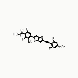 CCCc1cc(F)c(C#Cc2cc3sc(-c4cc(F)c(/C(Cl)=N/O)c(F)c4CC)cc3s2)c(F)c1